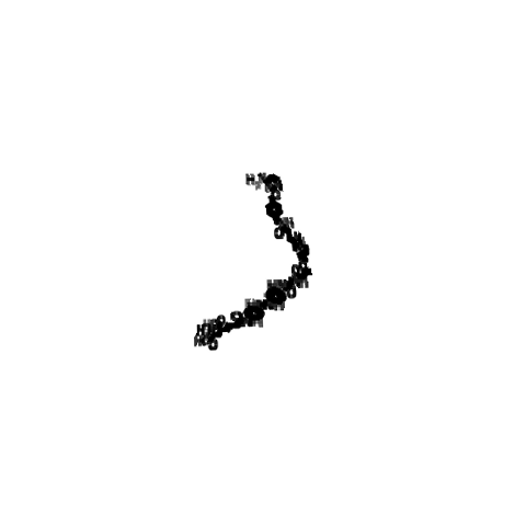 CCC(C)(COC(C)CC(=O)NCC(=O)Nc1ccc(NNc2ccc(NC(=O)CCC[C@@H](C[C@H](N)C(=O)O)C(=O)O)cc2)cc1)n1cc(CCC(=O)NCc2ccc(COc3nccc(N)n3)cc2)nn1